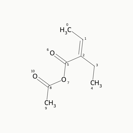 CC=C(CC)C(=O)OC(C)=O